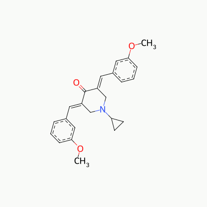 COc1cccc(/C=C2\CN(C3CC3)C/C(=C\c3cccc(OC)c3)C2=O)c1